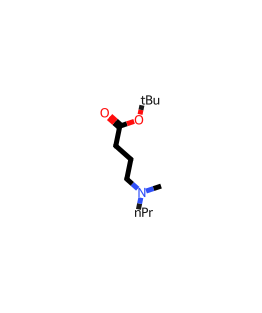 CCCN(C)CCCC(=O)OC(C)(C)C